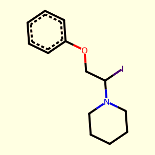 IC(COc1ccccc1)N1CCCCC1